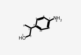 CC(CO)c1ccc(N)cc1